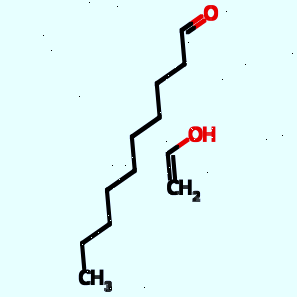 C=CO.CCCCCCCCCC=O